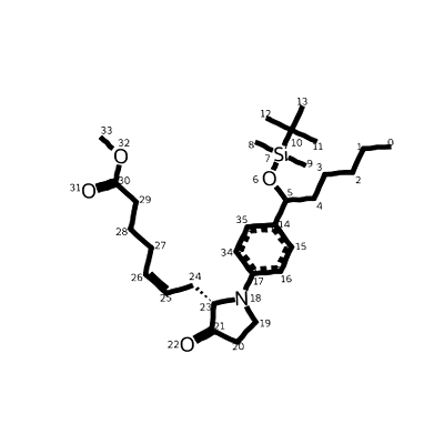 CCCCCC(O[Si](C)(C)C(C)(C)C)c1ccc(N2CCC(=O)[C@@H]2C/C=C\CCCC(=O)OC)cc1